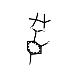 CC1(C)OB(c2ccc(F)cc2Cl)OC1(C)C